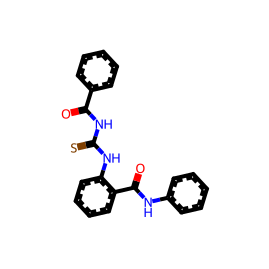 O=C(NC(=S)Nc1ccccc1C(=O)Nc1ccccc1)c1ccccc1